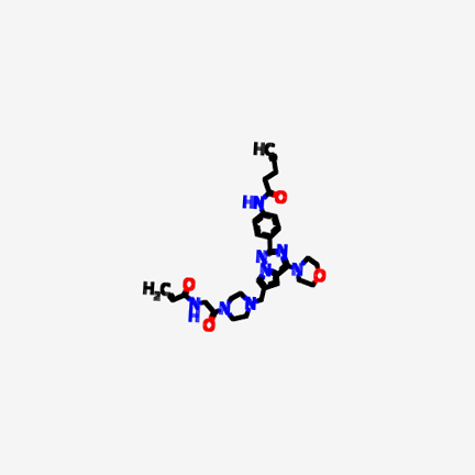 C#CCCC(=O)Nc1ccc(-c2nc(N3CCOCC3)c3cc(CN4CCN(C(=O)CNC(=O)C=C)CC4)cn3n2)cc1